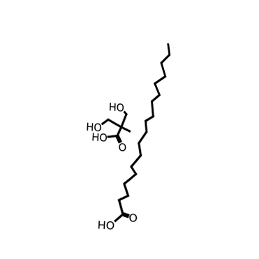 CC(CO)(CO)C(=O)O.CCCCCCCCCCCCCCCCCC(=O)O